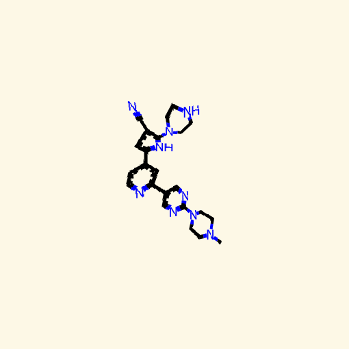 CN1CCN(c2ncc(-c3cc(-c4cc(C#N)c(N5CCNCC5)[nH]4)ccn3)cn2)CC1